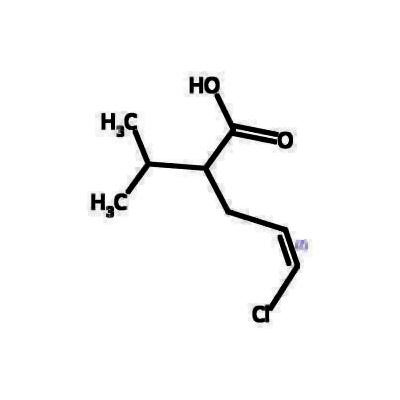 CC(C)C(C/C=C\Cl)C(=O)O